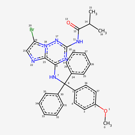 COc1ccc(C(Nc2nc(NC(=O)C(C)C)nn3c(Br)cnc23)(c2ccccc2)c2ccccc2)cc1